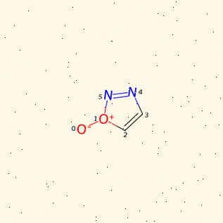 [O-][o+]1ccnn1